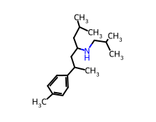 Cc1ccc(C(C)CC(CC(C)C)NCC(C)C)cc1